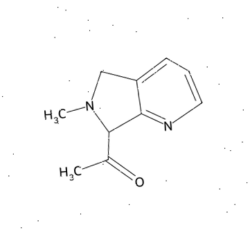 CC(=O)C1c2ncccc2CN1C